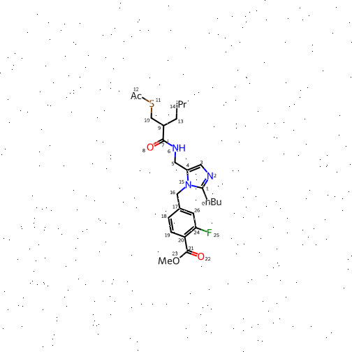 CCCCc1ncc(CNC(=O)C(CSC(C)=O)CC(C)C)n1Cc1ccc(C(=O)OC)c(F)c1